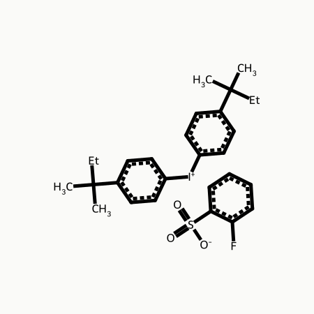 CCC(C)(C)c1ccc([I+]c2ccc(C(C)(C)CC)cc2)cc1.O=S(=O)([O-])c1ccccc1F